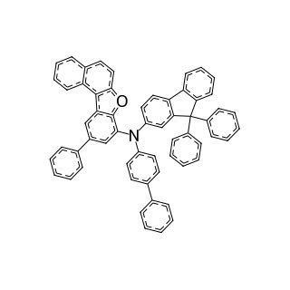 c1ccc(-c2ccc(N(c3ccc4c(c3)C(c3ccccc3)(c3ccccc3)c3ccccc3-4)c3cc(-c4ccccc4)cc4c3oc3ccc5ccccc5c34)cc2)cc1